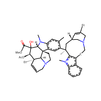 CCC1=C[C@@H]2CN(CCc3c(n(C)c4ccccc34)[C@@](C)(c3cc4c(cc3C)N(C)[C@H]3C(O)(C(=O)OC)[C@H](OC(C)=O)[C@]5(CC)C=CCN6CC[C@]43[C@@H]65)C2)C1